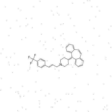 FC(F)(F)c1ccc(C=CCN2CCC(=C3c4ccccc4C=Cc4ccccc43)CC2)cc1